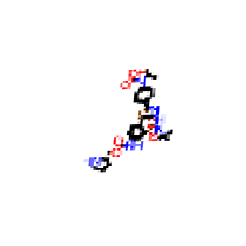 CC(C)N(C(=O)O)C1CCC(c2ncc(-c3ccc(NC(=O)OC[C@@H]4CCCN4)cc3S(=O)(=O)NC(C)(C)C)s2)CC1